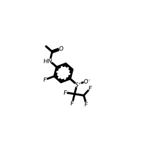 CC(=O)Nc1ccc([S+]([O-])C(F)(F)C(F)F)cc1F